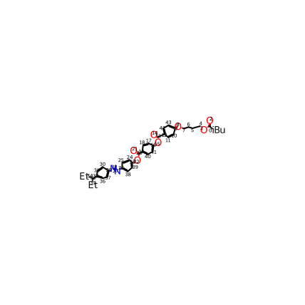 CCC(C)C(=O)OCCCCOc1ccc(C(=O)Oc2ccc(C(=O)Oc3ccc(N=Nc4ccc(C(CC)CC)cc4)cc3)cc2)cc1